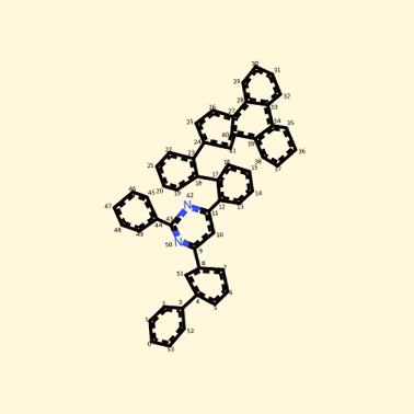 c1ccc(-c2cccc(-c3cc(-c4ccccc4-c4ccccc4-c4ccc5c6ccccc6c6ccccc6c5c4)nc(-c4ccccc4)n3)c2)cc1